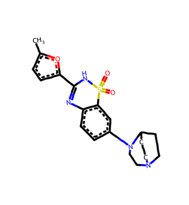 Cc1ccc(C2=Nc3ccc(N4CCN5CCC4CC5)cc3S(=O)(=O)N2)o1